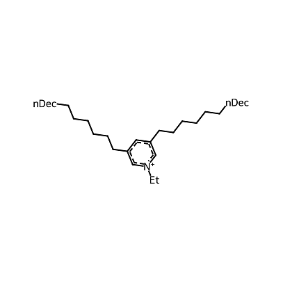 CCCCCCCCCCCCCCCCc1cc(CCCCCCCCCCCCCCCC)c[n+](CC)c1